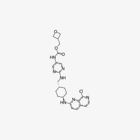 O=C(Nc1cnc(NC[C@H]2CC[C@H](Nc3ccc4ccnc(Cl)c4n3)CC2)nc1)OCC1COC1